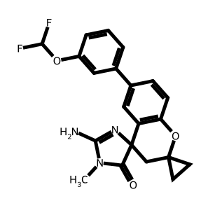 CN1C(=O)C2(CC3(CC3)Oc3ccc(-c4cccc(OC(F)F)c4)cc32)N=C1N